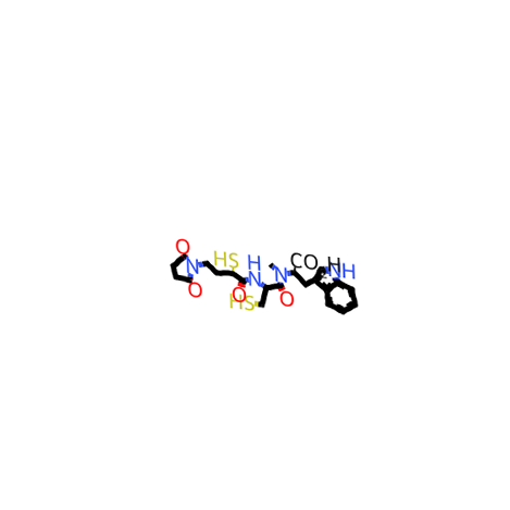 CN(C(=O)C(CS)NC(=O)[C@@H](S)CCN1C(=O)CCC1=O)[C@@H](Cc1c[nH]c2ccccc12)C(=O)O